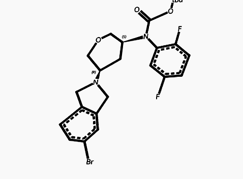 CC(C)(C)OC(=O)N(c1cc(F)ccc1F)[C@@H]1COC[C@H](N2Cc3ccc(Br)cc3C2)C1